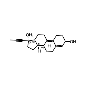 CC#C[C@]1(O)CC[C@H]2[C@@H]3CCC4=CC(O)CCC4=C3CC[C@@]21C